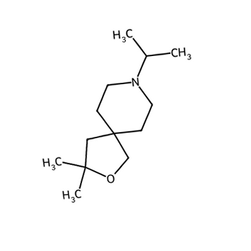 CC(C)N1CCC2(CC1)COC(C)(C)C2